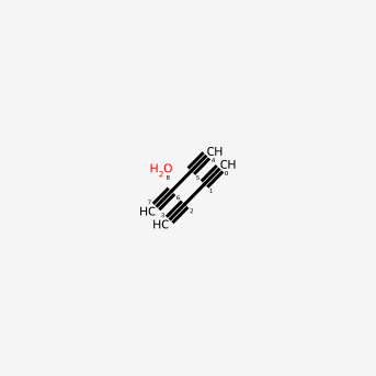 C#CC#C.C#CC#C.O